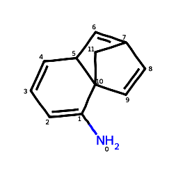 NC1=CC=CC2C=C3C=CC12C3